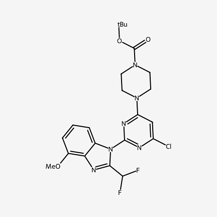 COc1cccc2c1nc(C(F)F)n2-c1nc(Cl)cc(N2CCN(C(=O)OC(C)(C)C)CC2)n1